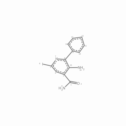 NC(=O)c1cc(I)nc(-c2ccccc2)c1N